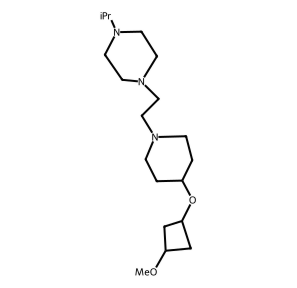 COC1CC(OC2CCN(CCN3CCN(C(C)C)CC3)CC2)C1